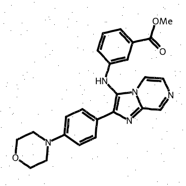 COC(=O)c1cccc(Nc2c(-c3ccc(N4CCOCC4)cc3)nc3cnccn23)c1